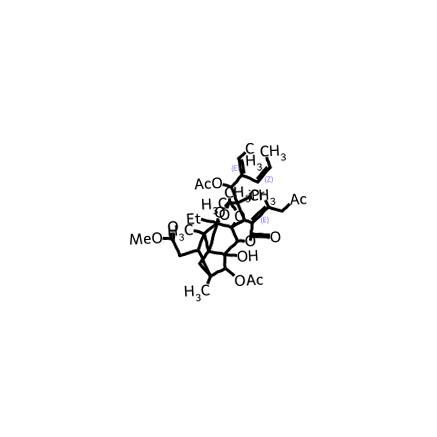 C/C=C\C(=C/C)C(OC(C)=O)C(C)(C)C1/C(=C(/CC(C)=O)C(C)C)C(=O)OC2C3(O)C(OC(C)=O)C4(C)CC35OC3(C)OC12C(CC)(O3)C5(C)C4CC(=O)OC